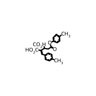 Cc1ccc(C=C(C(=O)O)C(CC(=O)Oc2ccc(C)cc2)C(=O)O)cc1